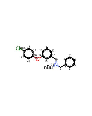 CCCCN(Cc1ccccc1)Cc1cccc(Oc2ccc(Cl)cc2)c1